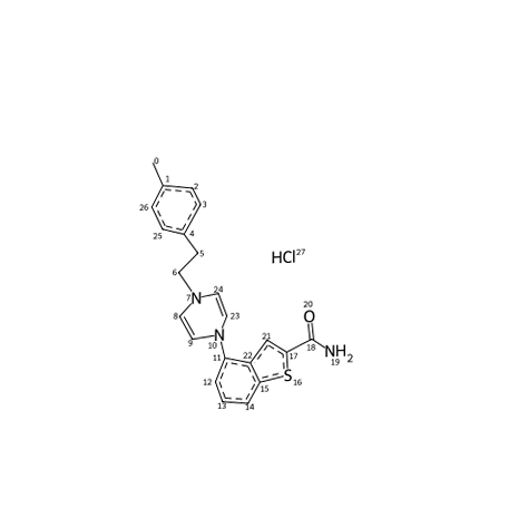 Cc1ccc(CCN2C=CN(c3cccc4sc(C(N)=O)cc34)C=C2)cc1.Cl